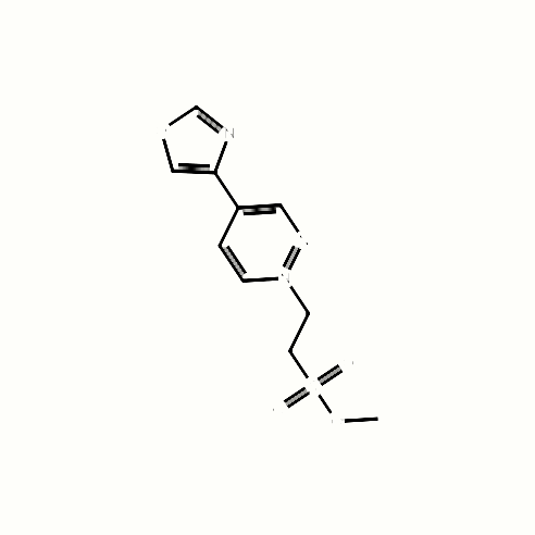 COS(=O)(=O)CC[n+]1ccc(-c2cocn2)cn1